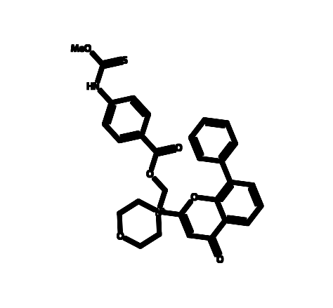 COC(=S)Nc1ccc(C(=O)OC[N+]2(c3cc(=O)c4cccc(-c5ccccc5)c4o3)CCOCC2)cc1